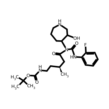 C[C@@H](CCNC(=O)OC(C)(C)C)CC(=O)N(C(=O)Nc1ccccc1F)C1CCCNCC1O